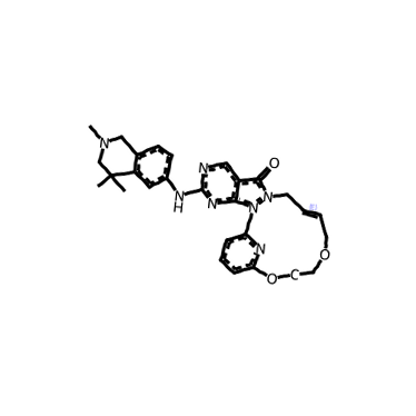 CN1Cc2ccc(Nc3ncc4c(=O)n5n(c4n3)-c3cccc(n3)OCCOC/C=C/C5)cc2C(C)(C)C1